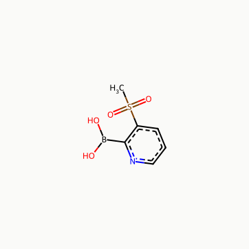 CS(=O)(=O)c1cccnc1B(O)O